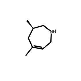 CC1=CCNC[C@H](C)C1